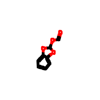 O=COC1Oc2ccccc2O1